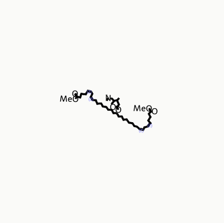 COC(=O)CCC/C=C\C/C=C\CCCCCCCCC(CCCCCCCC/C=C\C/C=C\CCCC(=O)OC)OC(=O)CC(C)C(C)CN(C)C